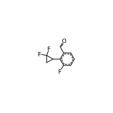 O=Cc1cccc(F)c1C1CC1(F)F